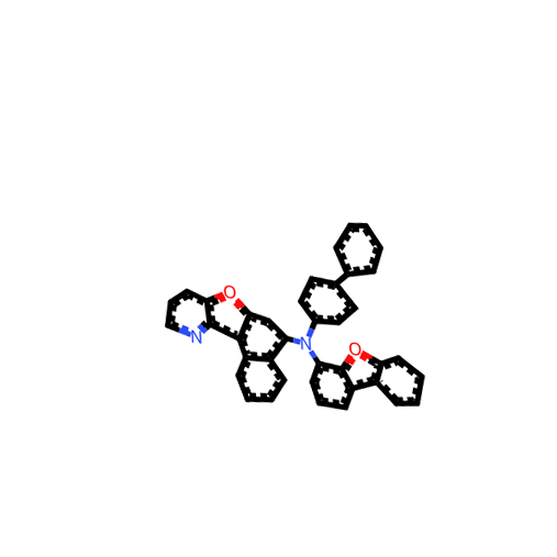 c1ccc(-c2ccc(N(c3cc4oc5cccnc5c4c4ccccc34)c3cccc4c3oc3ccccc34)cc2)cc1